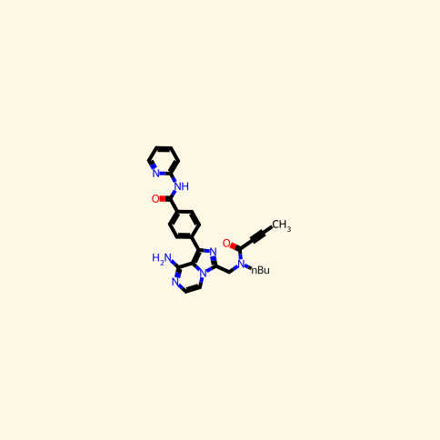 CC#CC(=O)N(CCCC)Cc1nc(-c2ccc(C(=O)Nc3ccccn3)cc2)c2c(N)nccn12